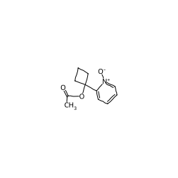 CC(=O)OC1(c2cccc[n+]2[O-])CCC1